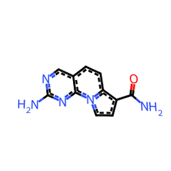 NC(=O)c1ccn2c1ccc1cnc(N)nc12